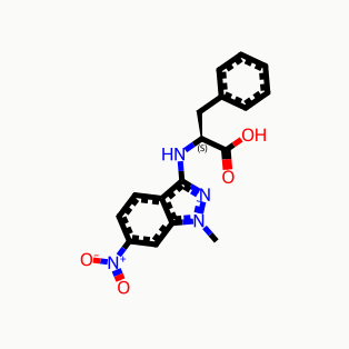 Cn1nc(N[C@@H](Cc2ccccc2)C(=O)O)c2ccc([N+](=O)[O-])cc21